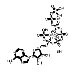 Nc1ncnc2c1ncn2[C@@H]1O[C@H](COP(=O)(OP(=O)(O)O)OP(=O)(O)OP(=O)(O)OP(=O)(O)OP(=O)(O)OP(=O)(O)O)[C@@H](O)[C@H]1O.[LiH]